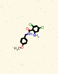 COc1ccc(CNC(=O)c2c(N)cc(Cl)cc2Cl)cc1